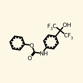 O=C(Nc1ccc(C(O)(C(F)(F)F)C(F)(F)F)cc1)Oc1ccccc1